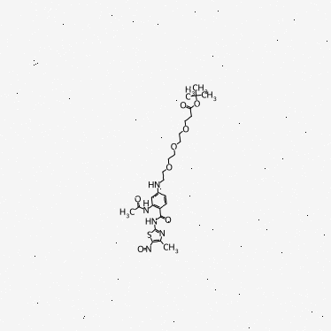 CC(=O)Nc1cc(NCCOCCOCCOCCC(=O)OC(C)(C)C)ccc1C(=O)Nc1nc(C)c(N=O)s1